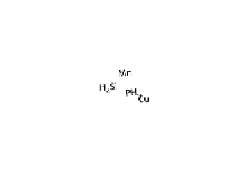 P.[Cu].[Mn].[SiH4]